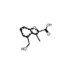 Cc1c(C(=O)O)oc2cccc(CO)c12